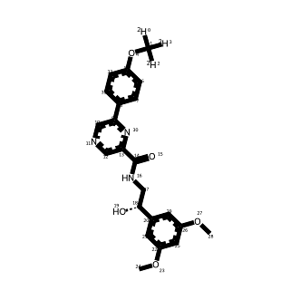 [2H]C([2H])([2H])Oc1ccc(-c2cncc(C(=O)NC[C@@H](O)c3cc(OC)cc(OC)c3)n2)cc1